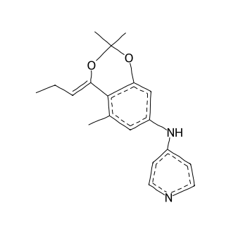 CC/C=C1\OC(C)(C)Oc2cc(Nc3ccncc3)cc(C)c21